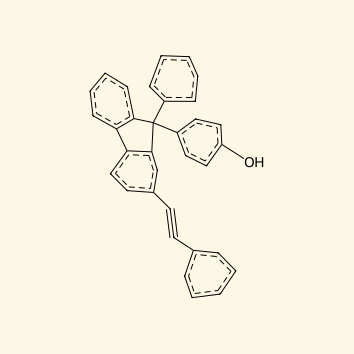 Oc1ccc(C2(c3ccccc3)c3ccccc3-c3ccc(C#Cc4ccccc4)cc32)cc1